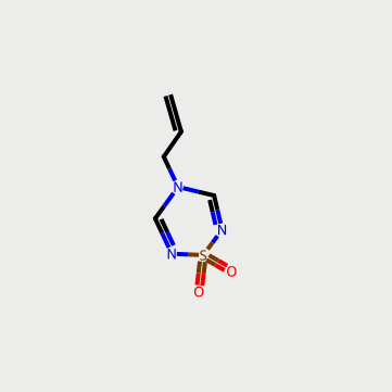 C=CCN1C=NS(=O)(=O)N=C1